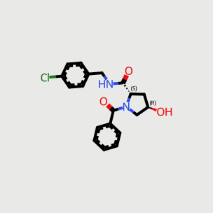 O=C(NCc1ccc(Cl)cc1)[C@@H]1C[C@@H](O)CN1C(=O)c1ccccc1